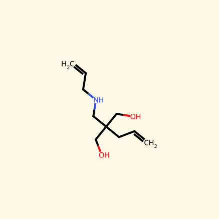 C=CCNCC(CO)(CO)CC=C